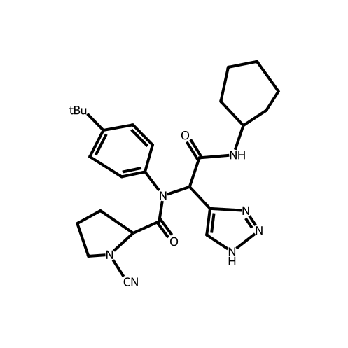 CC(C)(C)c1ccc(N(C(=O)C2CCCN2C#N)C(C(=O)NC2CCCCC2)c2c[nH]nn2)cc1